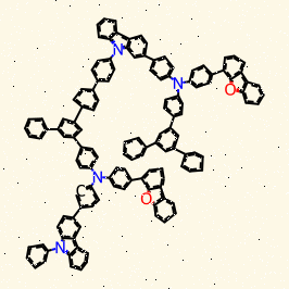 c1ccc(-c2cc(-c3ccccc3)cc(-c3ccc(N(c4ccc(-c5ccc6c7ccccc7n(-c7ccc(-c8ccc(-c9cc(-c%10ccccc%10)cc(-c%10ccc(N(c%11ccc(-c%12ccc%13c(c%12)c%12ccccc%12n%13-c%12ccccc%12)cc%11)c%11ccc(-c%12cccc%13c%12oc%12ccccc%12%13)cc%11)cc%10)c9)cc8)cc7)c6c5)cc4)c4ccc(-c5cccc6c5oc5ccccc56)cc4)cc3)c2)cc1